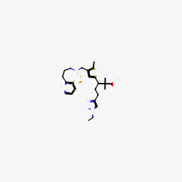 CCn1cc(CCC(c2cc(CN3C[C@@H](C)Cc4ncccc4S3(=O)=O)c(C)s2)C(C)(C)C(=O)O)nn1